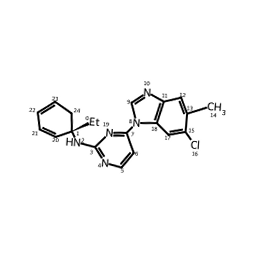 CC[C@@]1(Nc2nccc(-n3cnc4cc(C)c(Cl)cc43)n2)C=CC=CC1